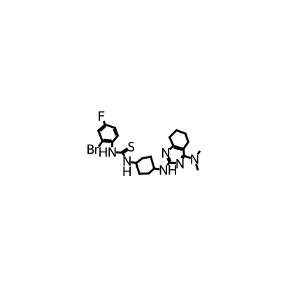 CN(C)c1nc(NC2CCC(NC(=S)Nc3ccc(F)cc3Br)CC2)nc2c1CCCC2